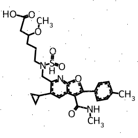 CNC(=O)c1c(-c2ccc(C)cc2)oc2nc(CN(CCCC(CC(=O)O)OC)[SH](=O)=O)c(C3CC3)cc12